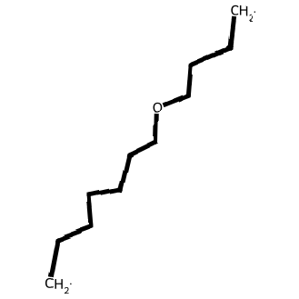 [CH2]CCCCCCOCCC[CH2]